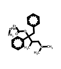 CCC(=O)OC(Cc1ccccc1)(c1ccccc1)C(C)CN(C)C.CCCCCP